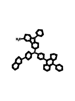 Cc1ccc2c(c1)c1cc(N(c3ccc(-c4ccc5ccccc5c4)cc3)c3ccc(-c4c5ccccc5c(-c5ccccc5)c5ccccc45)cc3)ccc1n2-c1ccccc1